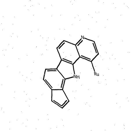 [Ru][c]1ccnc2ccc3c4ccc5c(c4[nH]c3c12)C=C=C5